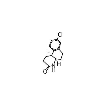 C[C@@]12CCC(=O)N[C@@H]1CCc1cc(Cl)ccc12